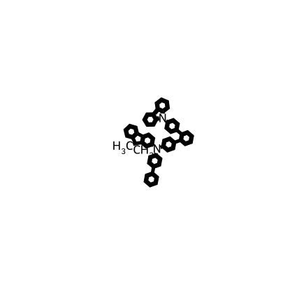 CC1(C)c2ccccc2-c2ccc(N(c3ccc(-c4ccccc4)cc3)c3ccc(-c4ccccc4-c4ccc(-n5c6ccccc6c6ccccc65)cc4)cc3)cc21